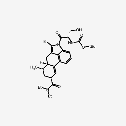 CCN(CC)C(=O)[C@@H]1C=C2c3cccc4c3c(c(Br)n4C(=O)[C@H](CO)NC(=O)OC(C)(C)C)C[C@H]2N(C)C1